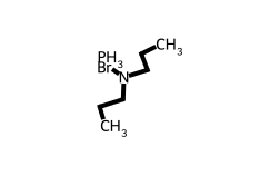 CCCN(Br)CCC.P